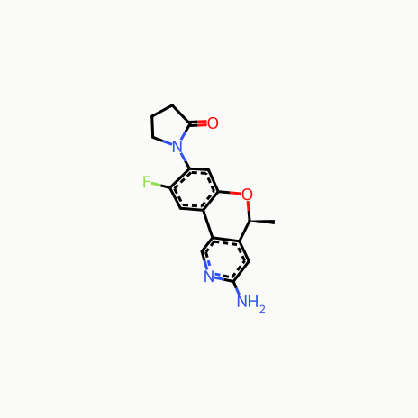 C[C@@H]1Oc2cc(N3CCCC3=O)c(F)cc2-c2cnc(N)cc21